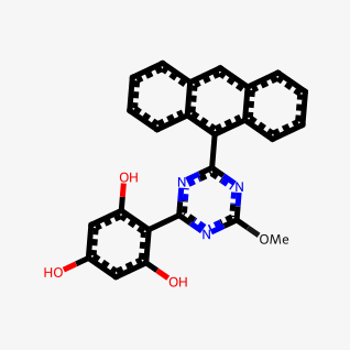 COc1nc(-c2c(O)cc(O)cc2O)nc(-c2c3ccccc3cc3ccccc23)n1